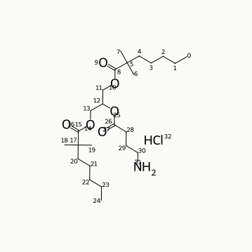 CCCCCC(C)(C)C(=O)OCC(COC(=O)C(C)(C)CCCCC)OC(=O)CCCN.Cl